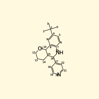 CC(C)(C)c1ccc2c(c1)C1OCCCC1C(c1ccncc1)N2